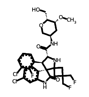 CO[C@@H]1C[C@@H](NC(=O)[C@@H]2NC3(CC(CF)(CF)C3)[C@@]3(C(=O)Nc4cc(Cl)ccc43)[C@H]2c2cccc(Cl)c2F)CO[C@@H]1CO